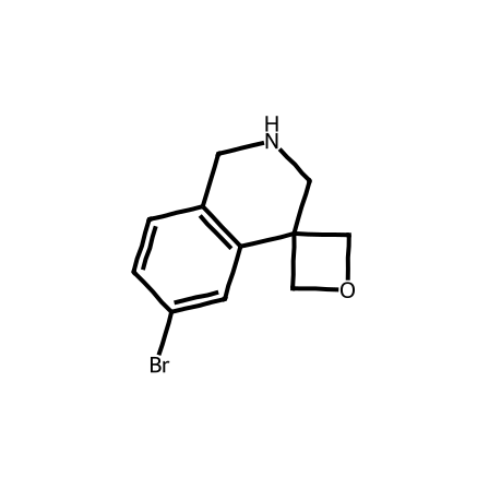 Brc1ccc2c(c1)C1(CNC2)COC1